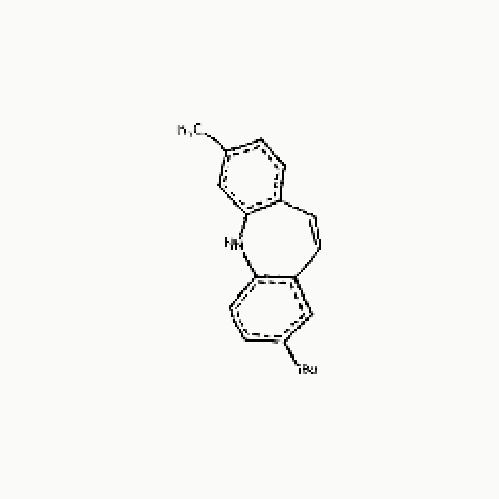 CCC(C)c1ccc2c(c1)C=Cc1ccc(C)cc1N2